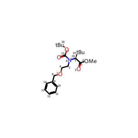 COC(=O)[C@@H](N(CCOCc1ccccc1)C(=O)OC(C)(C)C)C(C)(C)C